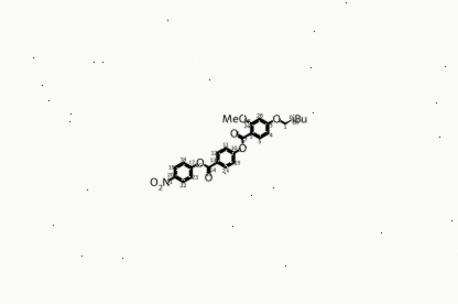 CC[C@H](C)COc1ccc(C(=O)Oc2ccc(C(=O)Oc3ccc([N+](=O)[O-])cc3)cc2)c(OC)c1